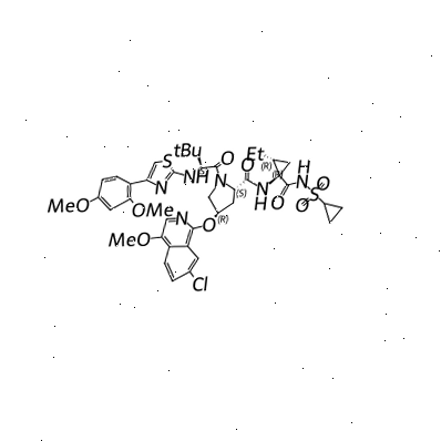 CC[C@@H]1C[C@]1(NC(=O)[C@@H]1C[C@@H](Oc2ncc(OC)c3ccc(Cl)cc23)CN1C(=O)[C@@H](Nc1nc(-c2ccc(OC)cc2OC)cs1)C(C)(C)C)C(=O)NS(=O)(=O)C1CC1